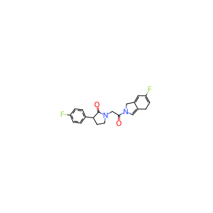 O=C(CN1CCC(c2ccc(F)cc2)C1=O)N1C=C2CC=C(F)C=C2C1